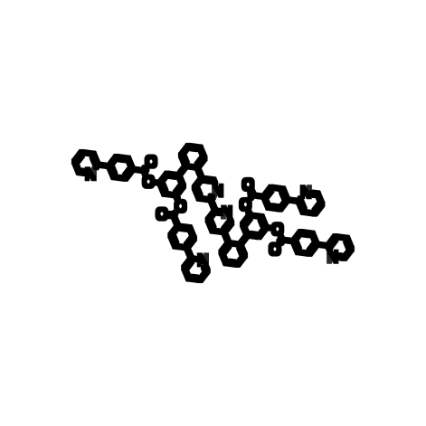 O=C(Oc1cc(OC(=O)c2ccc(-c3ccccn3)cc2)cc(-c2ccccc2-c2ccc(-c3ccc(-c4ccccc4-c4cc(OC(=O)c5ccc(-c6ccccn6)cc5)cc(OC(=O)c5ccc(-c6ccccn6)cc5)c4)cn3)nc2)c1)c1ccc(-c2ccccn2)cc1